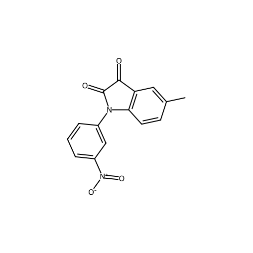 Cc1ccc2c(c1)C(=O)C(=O)N2c1cccc([N+](=O)[O-])c1